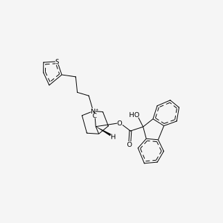 O=C(O[C@H]1C[N+]2(CCCc3cccs3)CCC1CC2)C1(O)c2ccccc2-c2ccccc21